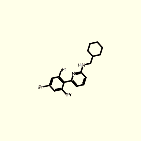 CC(C)c1cc(C(C)C)c(-c2cccc(NCC3CCCCC3)n2)c(C(C)C)c1